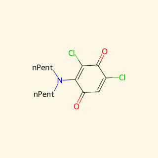 CCCCCN(CCCCC)C1=C(Cl)C(=O)C(Cl)=CC1=O